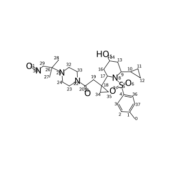 Cc1ccc(S(=O)(=O)N2C(C3CC3)CC(O)CC2C2(CC(=O)N3CCN(C(C)(C)CN=O)CC3)CC2)cc1